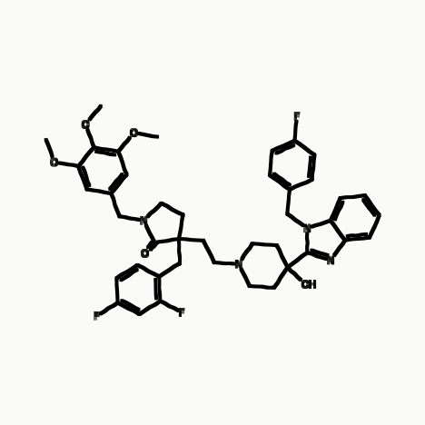 COc1cc(CN2CCC(CCN3CCC(O)(c4nc5ccccc5n4Cc4ccc(F)cc4)CC3)(Cc3ccc(F)cc3F)C2=O)cc(OC)c1OC